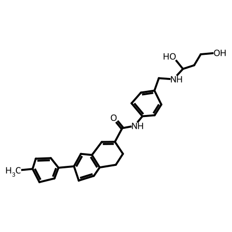 Cc1ccc(-c2ccc3c(c2)C=C(C(=O)Nc2ccc(CNC(O)CCO)cc2)CC3)cc1